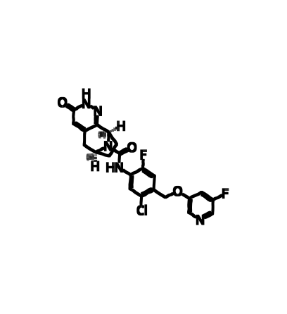 O=C(Nc1cc(Cl)c(COc2cncc(F)c2)cc1F)N1[C@H]2CC[C@@H]1c1n[nH]c(=O)cc1C2